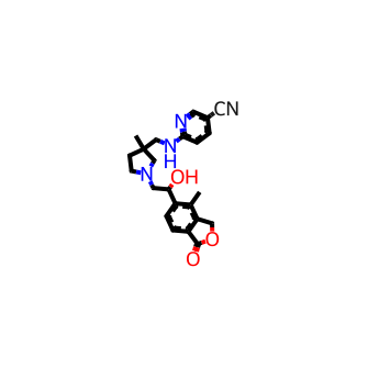 Cc1c(C(O)CN2CCC(C)(CNc3ccc(C#N)cn3)C2)ccc2c1COC2=O